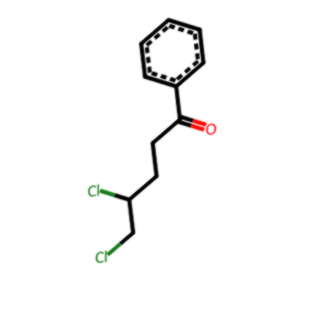 O=C(CCC(Cl)CCl)c1ccccc1